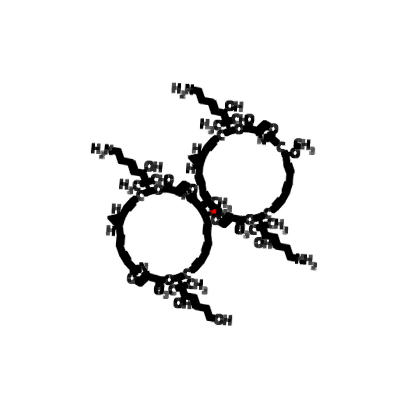 CO[C@H]1/C=C/C=C\C=C/C[C@@H](C(C)(C)[C@@H](O)/C=C/CCO)OC(=O)c2coc(n2)/C=C\C=C\[C@@H]2C[C@@H]2/C=C\C[C@@H](C(C)(C)[C@@H](O)/C=C/CCN)OC(=O)c2coc(n2)C1/C1=C/C=C/[C@@H]2C[C@@H]2/C=C\C[C@@H](C(C)(C)[C@@H](O)/C=C/CCN)OC(=O)c2coc(n2)C[C@@H](OC)/C=C/C=C\C=C/C[C@@H](C(C)(C)[C@@H](O)/C=C/CCN)OC(=O)c2coc1n2